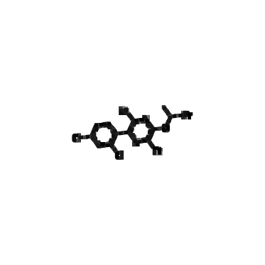 CCc1nc(-c2ccc(Cl)cc2Cl)c(CC)nc1OC(C)C(C)C